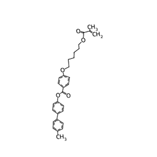 C=C(C)C(=O)OCCCCCCOc1ccc(C(=O)Oc2ccc(-c3ccc(C)cc3)cc2)cc1